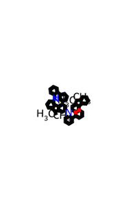 CC1(C)c2ccccc2-c2ccc(N(c3ccc4c(c3)C(C)(C)c3cccc(-n5c6ccccc6c6ccccc65)c3-4)c3ccccc3-c3ccccc3)cc21